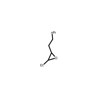 [CH2]CC1OC1CCCCC